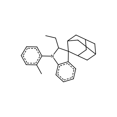 CCC1N(c2ccccc2C)c2ccccc2C12C1CC3CC(C1)CC2C3